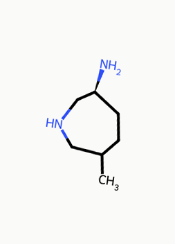 CC1CC[C@H](N)CNC1